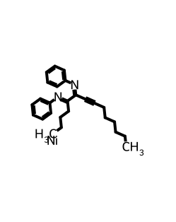 CCCCCCC#CC(=Nc1ccccc1)C(CCCC)=Nc1ccccc1.[Ni]